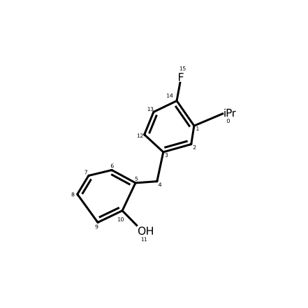 CC(C)c1cc(Cc2ccccc2O)ccc1F